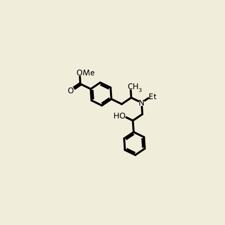 CCN(CC(O)c1ccccc1)C(C)Cc1ccc(C(=O)OC)cc1